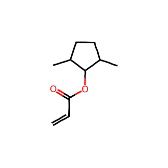 C=CC(=O)OC1C(C)CCC1C